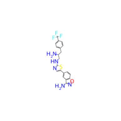 Nc1noc2ccc(-c3cnc(NC[C@@H](N)Cc4ccc(C(F)(F)F)cc4)s3)cc12